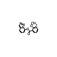 COc1ncccc1C(=O)Oc1cccc2cnnn12